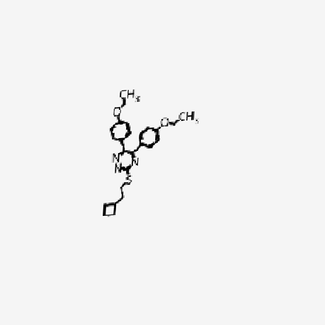 CCOc1ccc(-c2nnc(SCCC3CCC3)nc2-c2ccc(OCC)cc2)cc1